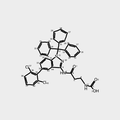 O=C(O)NCCC(=O)Nc1nn(C(c2ccccc2)(c2ccccc2)c2ccccc2)c2ccc(-c3c(Cl)cccc3Cl)cc12